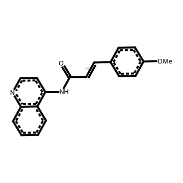 COc1ccc(/C=C/C(=O)Nc2ccnc3ccccc23)cc1